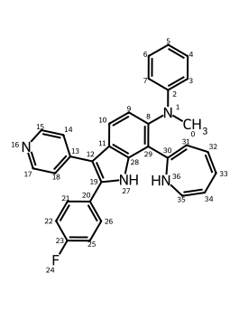 CN(c1ccccc1)c1ccc2c(-c3ccncc3)c(-c3ccc(F)cc3)[nH]c2c1C1=CC=CC=CN1